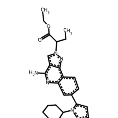 CCOC(=O)C(CC)n1cc2c(N)nc3cc(-c4ccnn4C4CCCCO4)ccc3c2n1